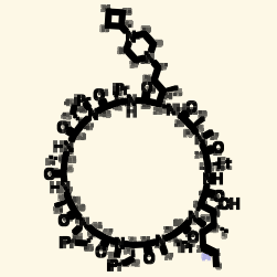 C/C=C/C[C@@H](C)[C@@H](O)[C@H]1C(=O)N[C@@H](CC)C(=O)N(C)[C@H](C)C(=O)N[C@@H]([C@H](C)CCN2CCN(C3CCC3)CC2)C(=O)N[C@@H](C(C)C)C(=O)N(C)[C@@H](CC(C)C)C(=O)N[C@@H](C)C(=O)N[C@H](C)C(=O)N(C)[C@@H](CC(C)C)C(=O)N(C)[C@@H](CC(C)C)C(=O)N(C)[C@@H](C(C)C)C(=O)N1C